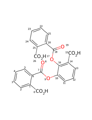 O=C(O)c1ccccc1C(=O)Oc1cccc(C(=O)O)c1OC(=O)c1ccccc1C(=O)O